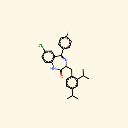 CC(C)c1ccc(CC2N=C(c3ccc(F)cc3)c3cc(Cl)ccc3NC2=O)c(C(C)C)c1